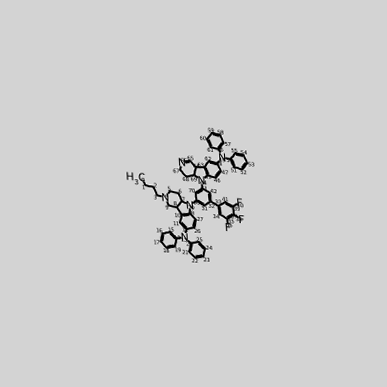 CCCCN1CCC2C(C1)c1cc(N(c3ccccc3)c3ccccc3)ccc1N2c1cc(-c2cc(F)c(F)c(F)c2)cc(N2c3ccc(N(c4ccccc4)c4ccccc4)cc3C3C=NCCC32)c1